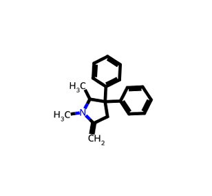 C=C1CC(c2ccccc2)(c2ccccc2)C(C)N1C